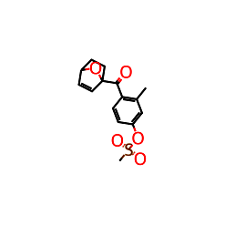 Cc1cc(OS(C)(=O)=O)ccc1C(=O)C12C=CC(CC1)O2